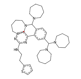 c1csc(CCNc2nccc(-c3cc(C(N4CCCCCC4)N4CCCCCC4)ccc3C(N3CCCCCC3)N3CCCCCC3)n2)c1